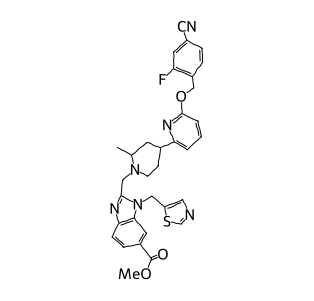 COC(=O)c1ccc2nc(CN3CCC(c4cccc(OCc5ccc(C#N)cc5F)n4)CC3C)n(Cc3cncs3)c2c1